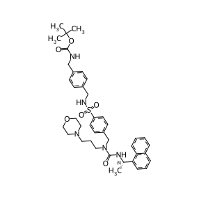 C[C@H](NC(=O)N(CCCN1CCOCC1)Cc1ccc(S(=O)(=O)NCc2ccc(CNC(=O)OC(C)(C)C)cc2)cc1)c1cccc2ccccc12